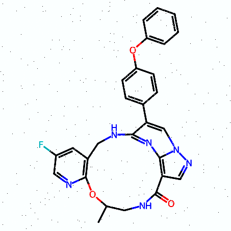 CC1CNC(=O)c2cnn3cc(-c4ccc(Oc5ccccc5)cc4)c(nc23)NCc2cc(F)cnc2O1